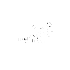 CC(C)CN(C[C@@H](O[PH](=O)O)[C@H](Cc1ccccc1)NC(=O)O[C@H]1CCOC1)S(=O)(=O)c1ccc(NP(=O)(O)O)cc1